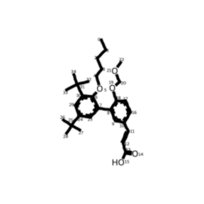 CCCCCOc1c(-c2cc(C=CC(=O)O)ccc2OCOC)cc(C(C)(C)C)cc1C(C)(C)C